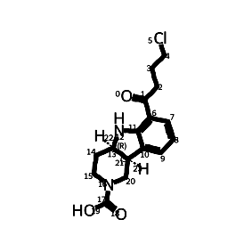 O=C(CCCCl)c1cccc2c1N[C@@H]1CCN(C(=O)O)C[C@H]21